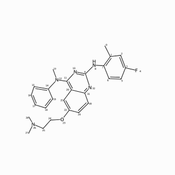 Cc1cc(F)ccc1Nc1nc(N(C)c2ccccc2)c2cc(OCCN(C)C)ccc2n1